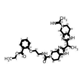 CCOC(=O)c1ccccc1OCCNC(=O)N1CCc2[nH]c(C(C)c3nc4c([nH]3)CCN(C(C)=N)C4)nc2C1